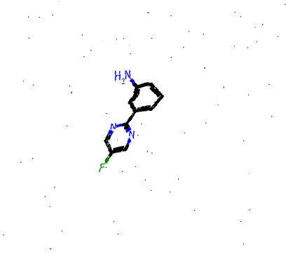 Nc1cccc(-c2ncc(F)cn2)c1